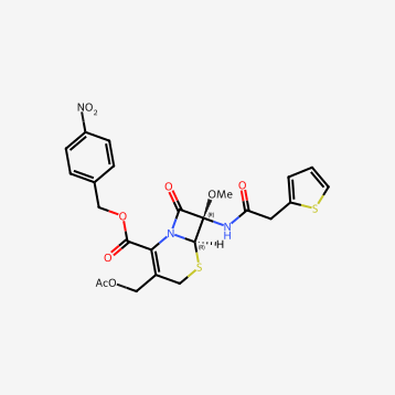 CO[C@]1(NC(=O)Cc2cccs2)C(=O)N2C(C(=O)OCc3ccc([N+](=O)[O-])cc3)=C(COC(C)=O)CS[C@@H]21